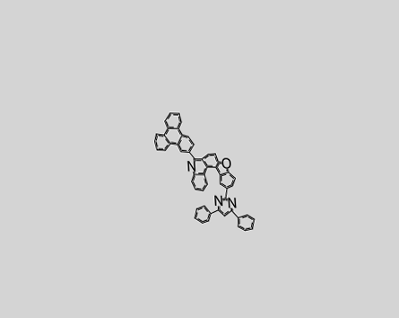 c1ccc(-c2cc(-c3ccccc3)nc(-c3ccc4oc5ccc6c(-c7ccc8c9ccccc9c9ccccc9c8c7)nc7ccccc7c6c5c4c3)n2)cc1